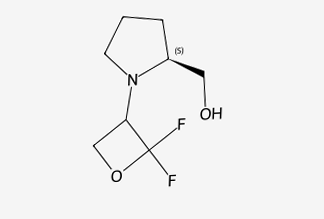 OC[C@@H]1CCCN1C1COC1(F)F